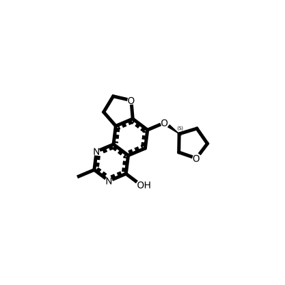 Cc1nc(O)c2cc(O[C@H]3CCOC3)c3c(c2n1)CCO3